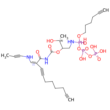 C#CCCCCC#C/C(=C/NC#CC)C(=O)NC(=O)OC(CN[PH](O)(OCCCCC#C)OP(=O)(O)OP(=O)(O)O)[C@@H](C)O